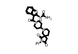 CC(C)N1C(=O)CC2(CCCN(C3CCN(C(=O)c4c(NC(N)=O)sc5ccccc45)CC3)C2)C1=O